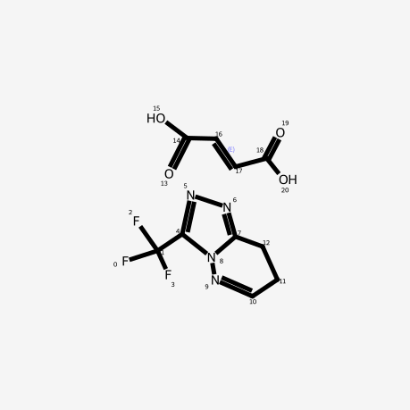 FC(F)(F)c1nnc2n1N=CCC2.O=C(O)/C=C/C(=O)O